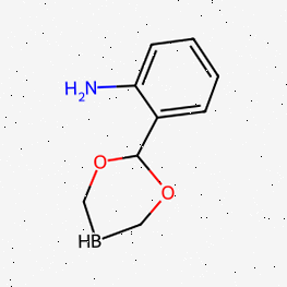 Nc1ccccc1C1OCBCO1